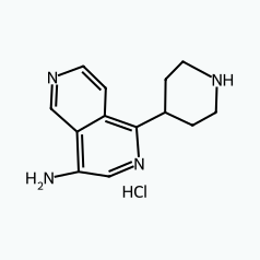 Cl.Nc1cnc(C2CCNCC2)c2ccncc12